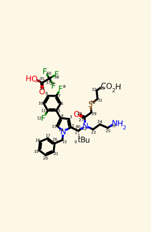 CC(C)(C)[C@H](c1cc(-c2cc(F)ccc2F)cn1Cc1ccccc1)N(CCCN)C(=O)CSCCC(=O)O.O=C(O)C(F)(F)F